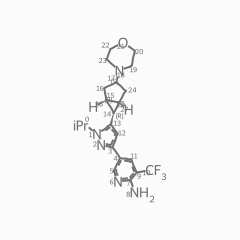 CC(C)n1nc(-c2cnc(N)c(C(F)(F)F)c2)cc1[C@H]1[C@@H]2C[C@@H](N3CCOCC3)C[C@@H]21